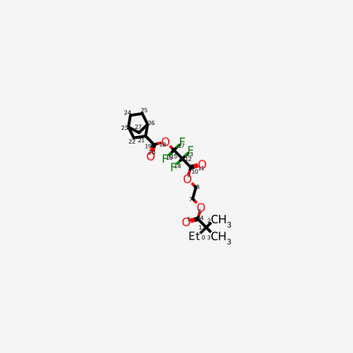 CCC(C)(C)C(=O)OCCOC(=O)C(F)(F)C(F)(F)OC(=O)C1CC2CCC1C2